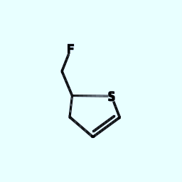 FCC1CC=CS1